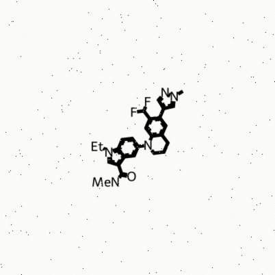 CCn1cc(C(=O)NC)c2cc(N3CCCc4cc(-c5cnn(C)c5)c(C(F)F)cc43)ccc21